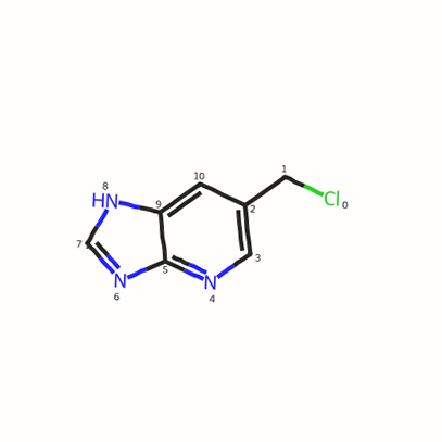 ClCc1cnc2n[c][nH]c2c1